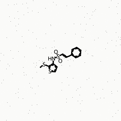 CSc1sccc1NS(=O)(=O)C=Cc1ccccc1